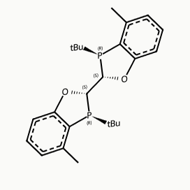 Cc1cccc2c1[P@](C(C)(C)C)[C@@H]([C@H]1Oc3cccc(C)c3[P@]1C(C)(C)C)O2